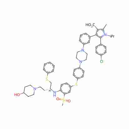 Cc1c(C(=O)O)c(-c2cccc(N3CCN(c4ccc(Sc5ccc(N[C@H](CCN6CCC(O)CC6)CSc6ccccc6)c(S(C)(=O)=O)c5)cc4)CC3)c2)c(-c2ccc(Cl)cc2)n1C(C)C